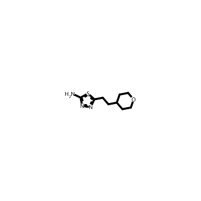 Nc1nnc(CCC2CCOCC2)s1